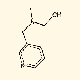 CN(CO)Cc1cccnc1